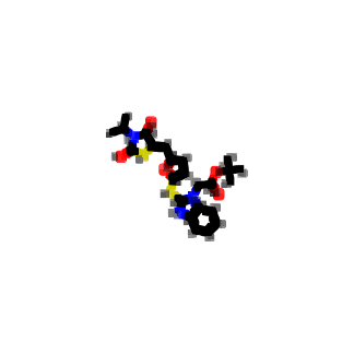 CC(C)N1C(=O)S/C(=C\c2ccc(Sc3nc4ccccc4n3CC(=O)OC(C)(C)C)o2)C1=O